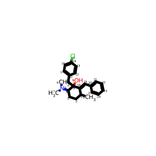 CC1CCC(N(C)C)C(O)(Cc2ccc(Cl)cc2)C1=Cc1ccccc1